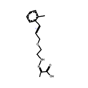 CC(=NNCCOC/C=C/c1ccccc1C)C(=O)O